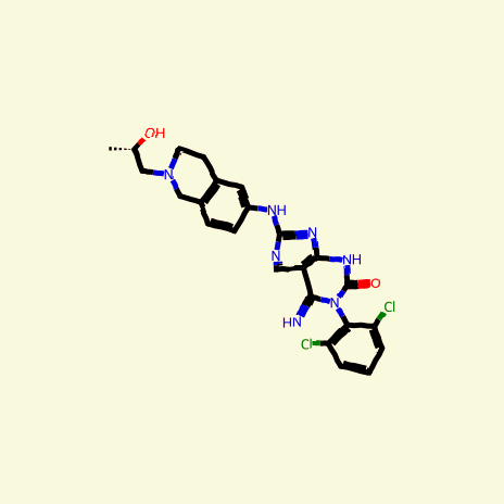 C[C@H](O)CN1CCc2cc(Nc3ncc4c(=N)n(-c5c(Cl)cccc5Cl)c(=O)[nH]c4n3)ccc2C1